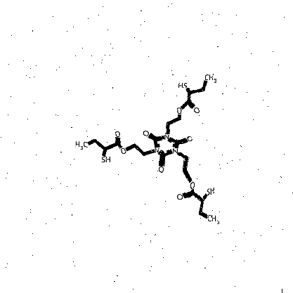 CCC(S)C(=O)OCCn1c(=O)n(CCOC(=O)C(S)CC)c(=O)n(CCOC(=O)C(S)CC)c1=O